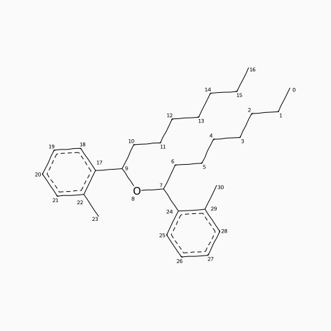 CCCCCCCC(OC(CCCCCCC)c1ccccc1C)c1ccccc1C